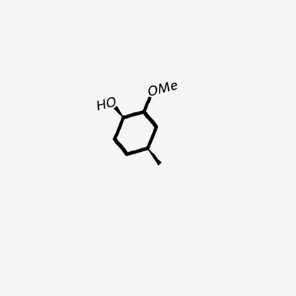 COC1C[C@@H](C)CC[C@H]1O